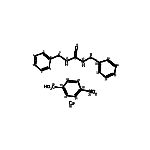 O=C(NSc1ccccc1)NSc1ccccc1.O=C(O)c1ccc([N+](=O)[O-])cc1.[Cu]